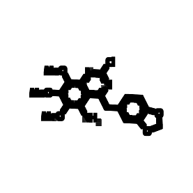 COc1c(OC)c(N)c2c(Cc3ccc4c(c3)OCO4)nc(Cl)nc2c1OC